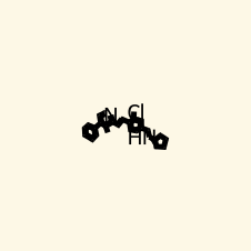 Cc1c(-c2ccccc2)ccnc1/C=C/c1ccc(CNC2CCCC2)cc1Cl